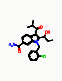 CCC(O)c1c(C(=O)C(C)C)c2ccc(C(N)=O)cc2n1Cc1ccccc1Cl